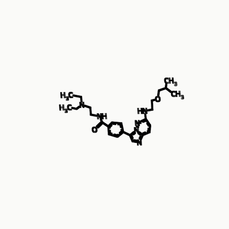 CCN(CC)CCNC(=O)c1ccc(-c2cnc3ccc(NCCOCC(C)C)nn23)cc1